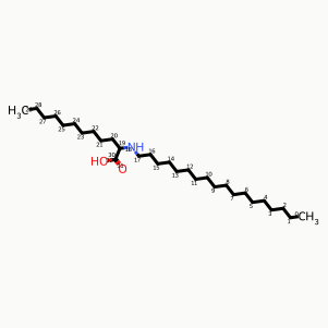 CCCCCCCCCCCCCCCCCCNC(CCCCCCCCCC)C(=O)O